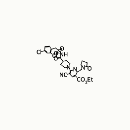 CCOC(=O)c1cc(C#N)c(N2CCC(C(=O)NS(=O)(=O)Cc3ccc(Cl)cc3Cl)CC2)nc1CN1CCCC1=O